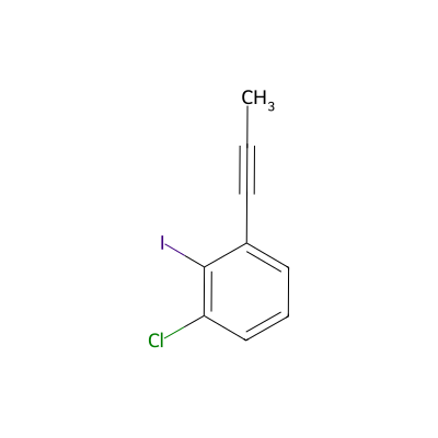 CC#Cc1cccc(Cl)c1I